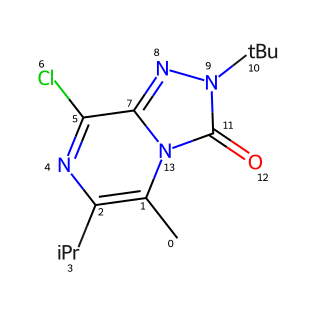 Cc1c(C(C)C)nc(Cl)c2nn(C(C)(C)C)c(=O)n12